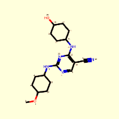 COC1CCC(Nc2ncc(C#N)c(NC3CCC(O)CC3)n2)CC1